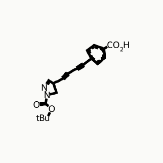 CC(C)(C)OC(=O)N1CC(C#CC#Cc2ccc(C(=O)O)cc2)C=N1